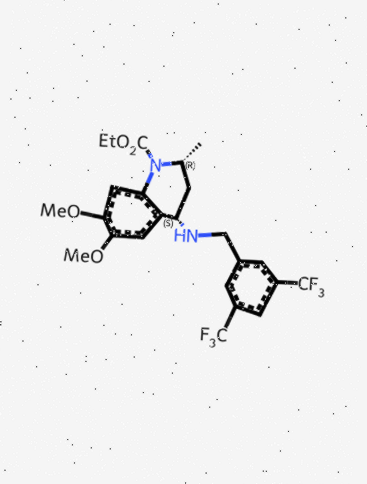 CCOC(=O)N1c2cc(OC)c(OC)cc2[C@@H](NCc2cc(C(F)(F)F)cc(C(F)(F)F)c2)C[C@H]1C